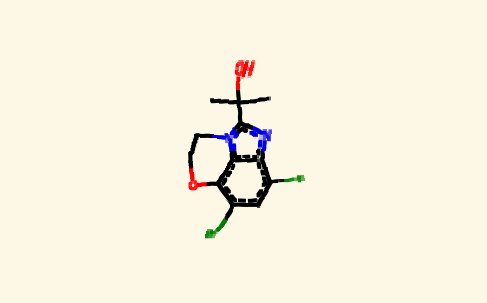 CC(C)(O)c1nc2c(F)cc(Br)c3c2n1CCO3